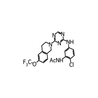 CC(=O)Nc1cc(Nc2ncnc(N3CCc4cc(OC(F)(F)F)ccc4C3)n2)ccc1Cl